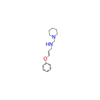 C(=COc1ccccc1)CNCN1CCCCC1